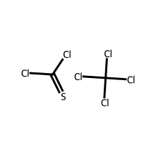 ClC(Cl)(Cl)Cl.S=C(Cl)Cl